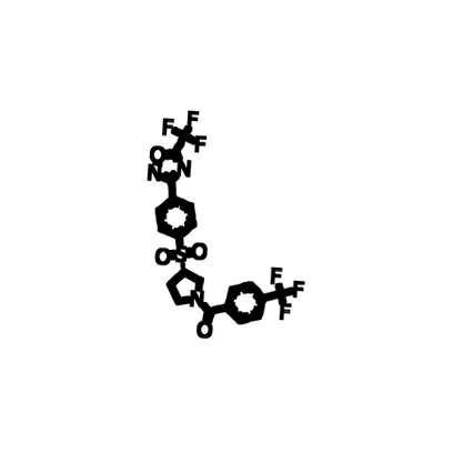 O=C(c1ccc(C(F)(F)F)cc1)N1CC[C@H](S(=O)(=O)c2ccc(-c3noc(C(F)(F)F)n3)cc2)C1